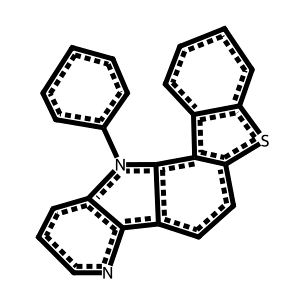 c1ccc(-n2c3cccnc3c3ccc4sc5ccccc5c4c32)cc1